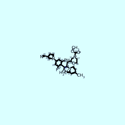 C=C1C=C(C)C=CN1/C(CC1CN(C(=O)OC)CCO1)=C(\C)c1c(F)cc(-n2ccc(C#N)c2)cc1P